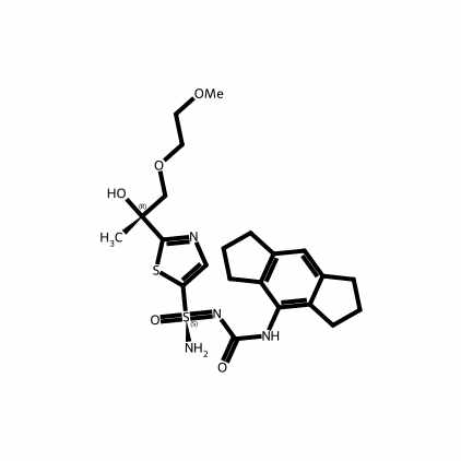 COCCOC[C@@](C)(O)c1ncc([S@@](N)(=O)=NC(=O)Nc2c3c(cc4c2CCC4)CCC3)s1